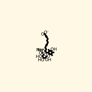 Cc1c(C)c(O[C@@H]2O[C@H](C(=O)[O-])[C@@H](O)[C@H](O)[C@H]2O)c(CCCCC#CCCCC#CC(=O)[O-])c(C)c1O.[Na+].[Na+]